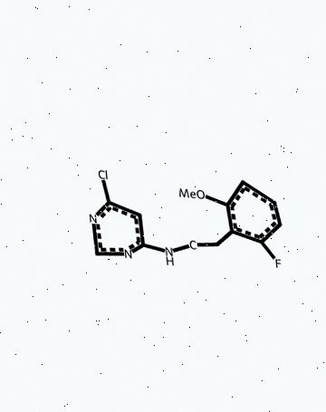 COc1cccc(F)c1CCNc1cc(Cl)ncn1